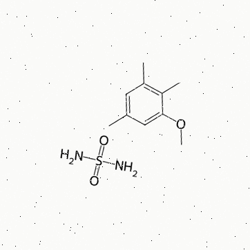 COc1cc(C)cc(C)c1C.NS(N)(=O)=O